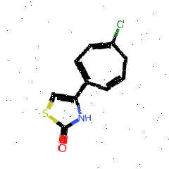 O=c1[nH]c(C2=CC=C(Cl)CC=C2)cs1